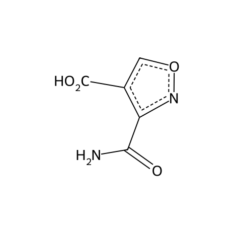 NC(=O)c1nocc1C(=O)O